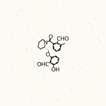 Cc1cccc(C(=O)N2CCCC[C@H]2COc2cccc(O)c2C=O)c1C=O